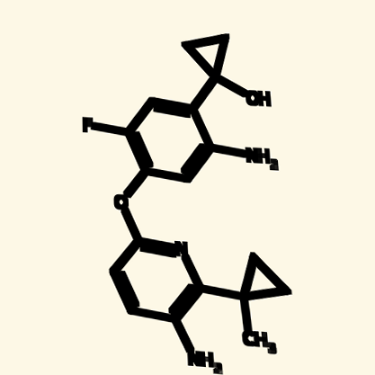 CC1(c2nc(Oc3cc(N)c(C4(O)CC4)cc3F)ccc2N)CC1